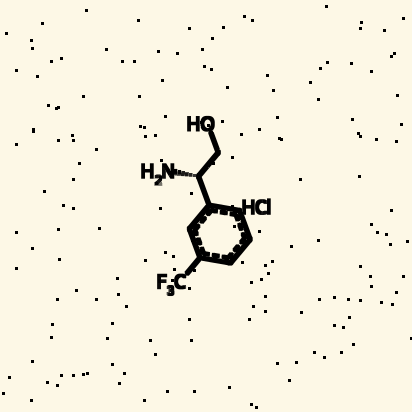 Cl.N[C@H](CO)c1cccc(C(F)(F)F)c1